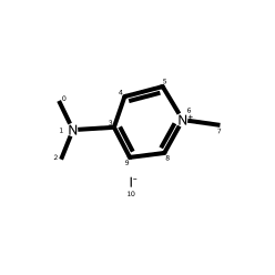 CN(C)c1cc[n+](C)cc1.[I-]